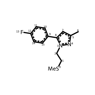 CSCCn1nc(C)cc1-c1ccc(F)cc1